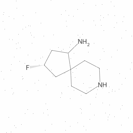 NC1C[C@@H](F)CC12CCNCC2